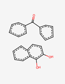 O=C(c1ccccc1)c1ccccc1.Oc1ccc2ccccc2c1O